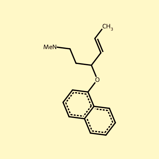 CC=CC(CCNC)Oc1cccc2ccccc12